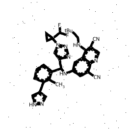 Cc1c(-c2cn[nH]c2)cccc1C(Nc1cc(C#N)c2ncc(C#N)c(NCC(C)(C)C)c2c1)c1cn(C2(C(F)F)CC2)nn1